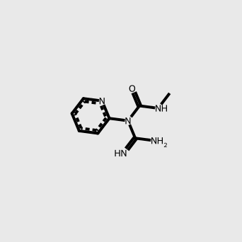 CNC(=O)N(C(=N)N)c1ccccn1